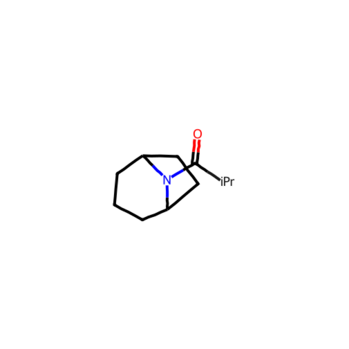 CC(C)C(=O)N1C2CCCC1CC2